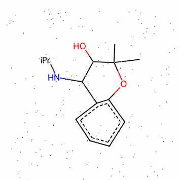 CC(C)NC1c2c[c]ccc2OC(C)(C)C1O